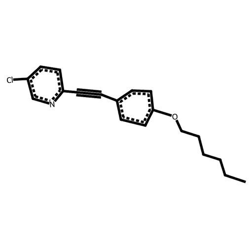 CCCCCCOc1ccc(C#Cc2ccc(Cl)cn2)cc1